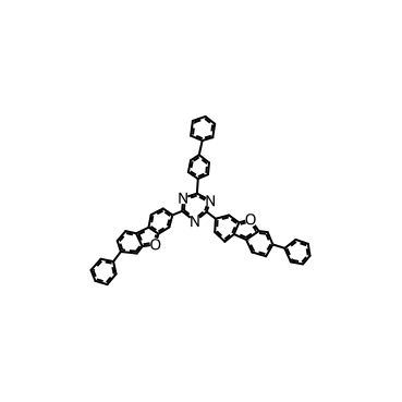 c1ccc(-c2ccc(-c3nc(-c4ccc5c(c4)oc4cc(-c6ccccc6)ccc45)nc(-c4ccc5c(c4)oc4cc(-c6ccccc6)ccc45)n3)cc2)cc1